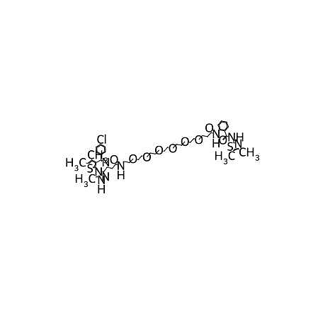 Cc1nc(NC(=O)c2ccccc2NC(=O)CCOCCOCCOCCOCCOCCOCCNC(=O)C[C@@H]2N=C(c3ccc(Cl)cc3)c3c(sc(C)c3C)N3C2=NNC3C)sc1C